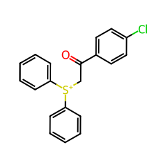 O=C(C[S+](c1ccccc1)c1ccccc1)c1ccc(Cl)cc1